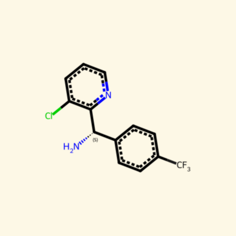 N[C@@H](c1ccc(C(F)(F)F)cc1)c1ncccc1Cl